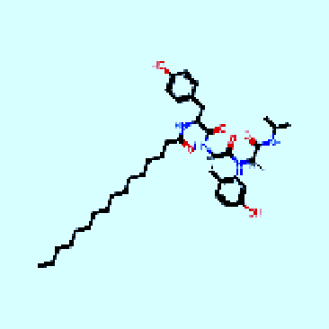 CCCCCCCCCCCCCCCC(=O)NC(Cc1ccc(O)cc1)C(=O)N[C@@H](Cc1ccc(O)cc1)C(=O)N[C@@H](C)C(=O)NC(C)C